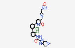 COc1nc(-c2cccc(-c3cccc(NC(=O)c4nc5c(n4C)CCN(C)C5)c3Cl)c2Cl)ccc1CN1CC(CNC=O)C1